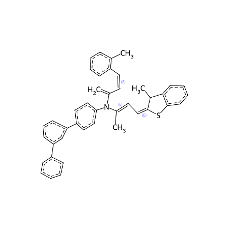 C=C(/C=C\c1ccccc1C)N(/C(C)=C/C=C1/Sc2ccccc2C1C)c1ccc(-c2cccc(-c3ccccc3)c2)cc1